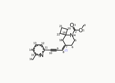 COC(=O)N1CC/C(=C/C#Cc2cccc(C)n2)CC12CCC2